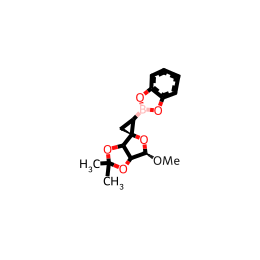 CO[C@@H]1O[C@]2(CC2B2Oc3ccccc3O2)C2OC(C)(C)OC21